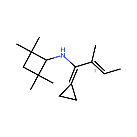 C/C=C(\C)C(NC1C(C)(C)CC1(C)C)=C1CC1